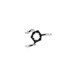 NNc1cccc(C(=O)O)c1.O=[N+]([O-])O